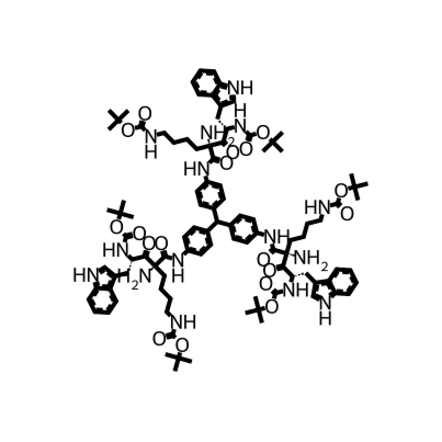 CC(C)(C)OC(=O)NCCCC[C@](N)(C(=O)Nc1ccc(C(c2ccc(NC(=O)[C@@](N)(CCCCNC(=O)OC(C)(C)C)C(=O)[C@H](Cc3c[nH]c4ccccc34)NC(=O)OC(C)(C)C)cc2)c2ccc(NC(=O)[C@@](N)(CCCCNC(=O)OC(C)(C)C)C(=O)[C@H](Cc3c[nH]c4ccccc34)NC(=O)OC(C)(C)C)cc2)cc1)C(=O)[C@H](Cc1c[nH]c2ccccc12)NC(=O)OC(C)(C)C